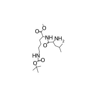 COC(=O)C(CCCCNC(=O)OC(C)(C)C)NC(=O)C(N)CC(C)C